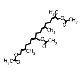 CC(=O)OC/C=C(\C)CC/C=C(/CC/C=C(\C)CC/C=C(/C)COC(C)=O)COC(C)=O